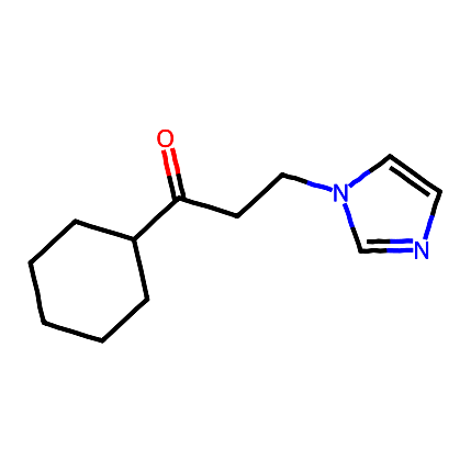 O=C(CCn1ccnc1)C1CCCCC1